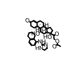 CC(=O)OCC(=O)[C@@]1(O)CC[C@H]2[C@@H]3CCC4=CC(=O)CC[C@]4(C)[C@H]3[C@@H](O)C[C@@]21C.c1cc2c(c(NC3=NCCN3)c1)CCCC2